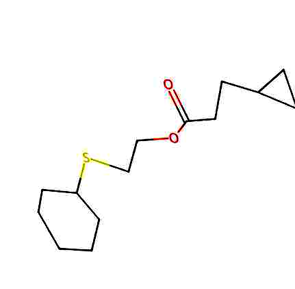 O=C(CCC1CC1)OCCSC1CCCCC1